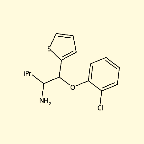 CC(C)C(N)C(Oc1ccccc1Cl)c1cccs1